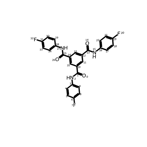 O=C(Nc1ccc(F)cc1)c1cc(C(=O)Nc2ccc(F)cc2)cc(C(=O)Nc2ccc(F)cc2)c1